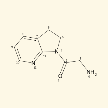 NCC(=O)N1CCc2cccnc21